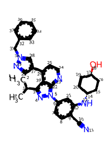 CC(C)c1nn(-c2ccc(C#N)c(N[C@H]3CC[C@H](O)CC3)c2)c2nccc(-c3cnn(Cc4ccccc4)c3)c12